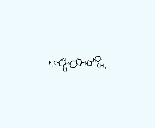 C[C@H]1CCCN1[C@H]1CCN(c2ccc3c(c2)CCN(c2ncc(C(F)(F)F)cc2Cl)C3)C1